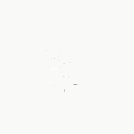 C[SiH](C)OC(c1ccc(CO)c(F)c1F)C(C)(C)C